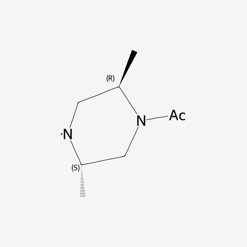 CC(=O)N1C[C@H](C)[N]C[C@H]1C